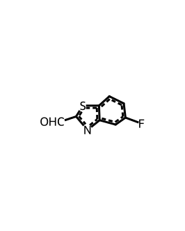 O=Cc1nc2cc(F)ccc2s1